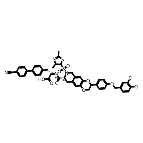 CC1=NC(C)C(S(=O)(=O)N2Cc3cc4c(cc3C[C@H]2C(=O)N[C@@H](Cc2ccc(-c3ccc(C#N)cc3)cc2)C(=O)O)OCC(c2ccc(OCc3ccc(Cl)c(Cl)c3)cc2)O4)S1